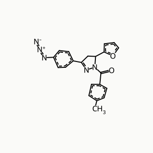 Cc1ccc(C(=O)N2N=C(c3ccc(N=[N+]=[N-])cc3)CC2c2ccco2)cc1